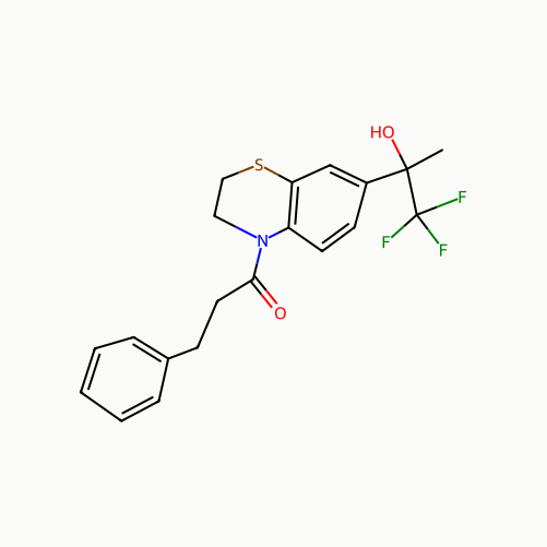 CC(O)(c1ccc2c(c1)SCCN2C(=O)CCc1ccccc1)C(F)(F)F